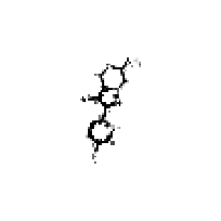 CC1Cn2nc(-c3ccc(F)cn3)c(Br)c2CO1